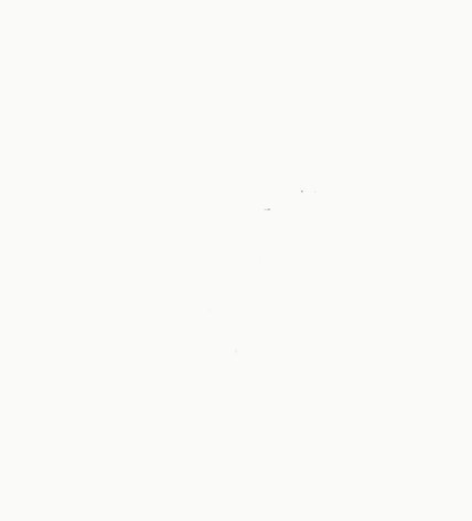 CCc1cc(-c2ccc(N3CCCCC3)cc2)oc1C